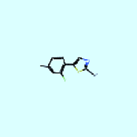 Cc1ccc(-c2cnc(C(C)C)s2)c(F)c1